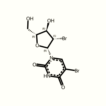 O=c1[nH]c(=O)n([C@@H]2O[C@H](CO)[C@@H](O)[C@@H]2Br)cc1Br